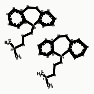 CN(C)CCCN1c2ccccc2CCc2ccccc21.CN(C)CCCN1c2ccccc2CCc2ccccc21